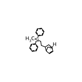 C[Si](CCC1C[C@@H]2C=CC1C2)(c1ccccc1)c1ccccc1